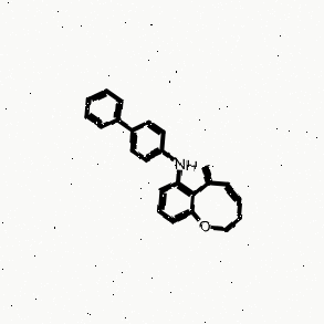 C=C1/C=C\CCOc2cccc(Nc3ccc(-c4ccccc4)cc3)c21